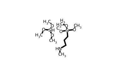 CNCCC[Si](OC)(OC)OC.CO[SiH](OC)OC